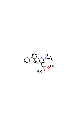 COc1cc2cc(-c3cccc(-c4ccccc4)c3C)nc(N(C)C)c2cc1OC